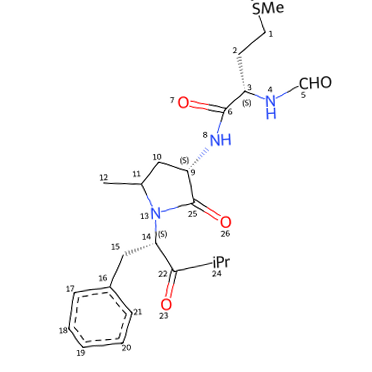 CSCC[C@H](NC=O)C(=O)N[C@H]1CC(C)N([C@@H](Cc2ccccc2)C(=O)C(C)C)C1=O